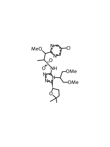 COCC(COC)n1c(NS(=O)(=O)C(C)C(OC)c2ncc(Cl)cn2)nnc1[C@H]1CCC(C)(C)O1